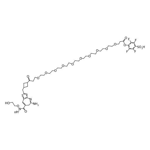 CCCN(OCCO)C(=O)C1=Cc2sc(CC3CC(C(=O)CCOCCOCCOCCOCCOCCOCCOCCOCCOCCOCCC(=O)Oc4c(F)c(F)c(S(=O)(=O)O)c(F)c4F)C3)cc2N=C(N)C1